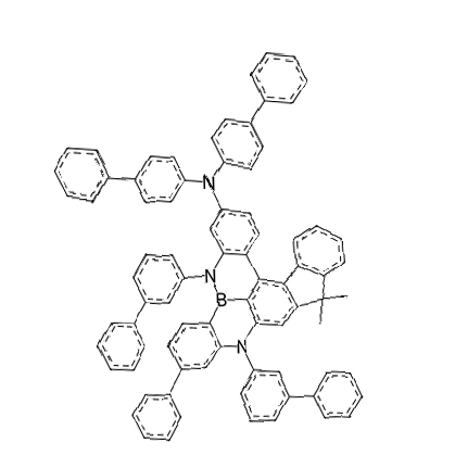 CC1(C)c2ccccc2-c2c1cc1c3c2-c2ccc(N(c4ccc(-c5ccccc5)cc4)c4ccc(-c5ccccc5)cc4)cc2N(c2cccc(-c4ccccc4)c2)B3c2ccc(-c3ccccc3)cc2N1c1cccc(-c2ccccc2)c1